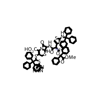 COC(=O)C(O/N=C(\C(=O)N[C@@H]1C(=O)N2C(C(=O)O)=C(SC(Sc3c[nH]nn3)C(c3ccccc3)(c3ccccc3)c3ccccc3)CS[C@H]12)c1csc(NC(c2ccccc2)(c2ccccc2)c2ccccc2)n1)(c1ccccc1)c1ccccc1